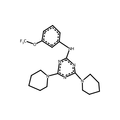 FC(F)(F)Oc1cccc(Nc2nc(N3CCCCC3)nc(N3CCCCC3)n2)c1